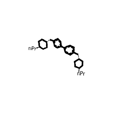 CCC[C@H]1CC[C@H](Cc2ccc(-c3ccc(C[C@H]4CC[C@H](CCC)CC4)cc3)cc2)CC1